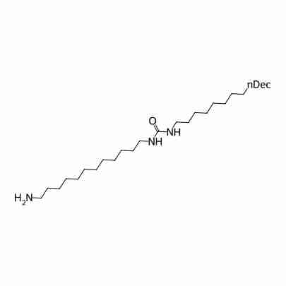 CCCCCCCCCCCCCCCCCCNC(=O)NCCCCCCCCCCCCN